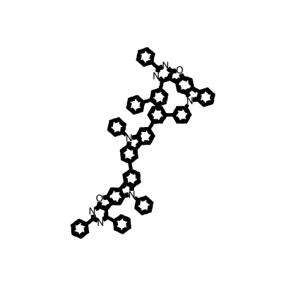 c1ccc(-c2cccc(-c3nc(-c4ccccc4)nc4oc5cc6c7ccccc7n(-c7cccc(-c8cccc(-c9ccc%10c%11cc(-c%12ccc%13c(c%12)c%12cc%14oc%15nc(-c%16ccccc%16)nc(-c%16ccccc%16)c%15c%14cc%12n%13-c%12ccccc%12)ccc%11n(-c%11ccccc%11)c%10c9)c8)c7)c6cc5c34)c2)cc1